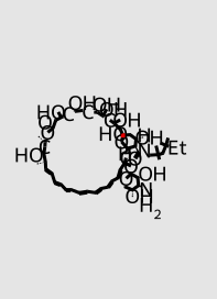 CCC(C)(C)CC(C)(C)CNC(=O)[C@H]1[C@@H]2CC(O[C@@H]3OC[C@@H](O)[C@H](N)[C@@H]3O)/C=C/C=C/C=C/C=C/C=C/C=C/C=C/[C@H](C)[C@@H](O)C[C@H](C)OC(=O)CC(O)CC(O)CCC(O)C(O)CC(O)CC(O)(C[C@@H]1O)O2